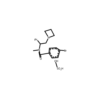 CC(C)C(CN1CCC1)N(C)C(=O)c1ccc(Br)cc1.O=S(=O)(O)O